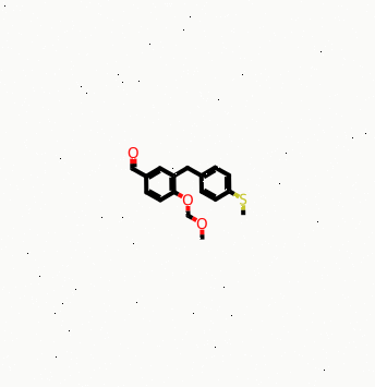 COCOc1ccc(C=O)cc1Cc1ccc(SC)cc1